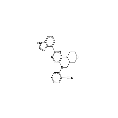 N#Cc1ccccc1N1CC2COCCN2c2nc(-c3cccc4[nH]ccc34)ncc21